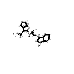 NC(=O)c1c(NC(=O)COc2c[nH]c3ccccc23)sc2c1CCC2